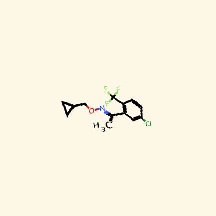 C/C(=N\OCC1CC1)c1cc(Cl)ccc1C(F)(F)F